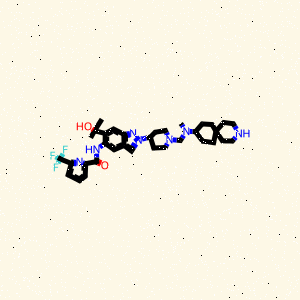 CN(CN1CCC(n2cc3cc(NC(=O)c4cccc(C(F)(F)F)n4)c(C(C)(C)O)cc3n2)CC1)C1CCC2(CCNCC2)CC1